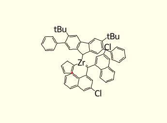 CC(C)(C)c1cc2c(cc1-c1ccccc1)[CH]([Zr]([C]1=CC=CC1)=[C](c1cc(Cl)cc3ccccc13)c1cc(Cl)cc3ccccc13)c1cc(-c3ccccc3)c(C(C)(C)C)cc1-2